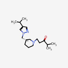 CC(C)C(=O)CCN1CCC[C@H](Cn2cc(C(C)C)cn2)C1